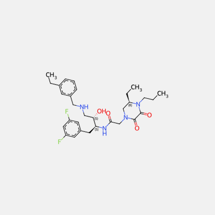 CCCN1C(=O)C(=O)N(CC(=O)N[C@@H](Cc2cc(F)cc(F)c2)[C@@H](O)CNCc2cccc(CC)c2)C[C@H]1CC